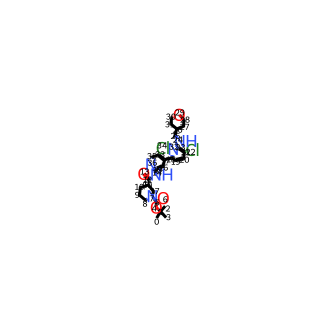 CC(C)(C)OC(=O)N1CCC[C@@H](C(=O)Nc2cc(-c3ccc(Cl)c(NCC4CCOCC4)n3)c(Cl)cn2)C1